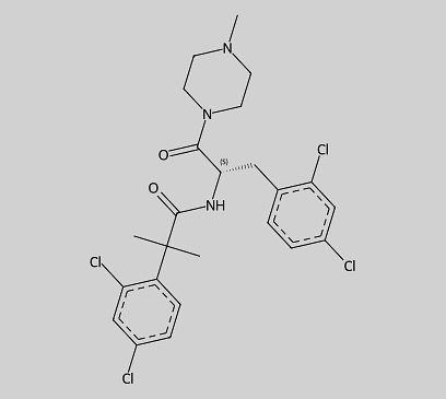 CN1CCN(C(=O)[C@H](Cc2ccc(Cl)cc2Cl)NC(=O)C(C)(C)c2ccc(Cl)cc2Cl)CC1